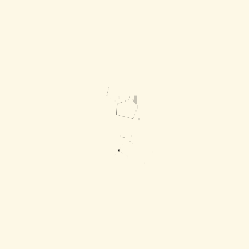 CC(C)(C)[Si](C)(C)O[C@H]1CN[C@H](CO)C1